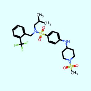 CC(C)CN(Cc1ccccc1C(F)(F)F)S(=O)(=O)c1ccc(NC2CCN(S(C)(=O)=O)CC2)cc1